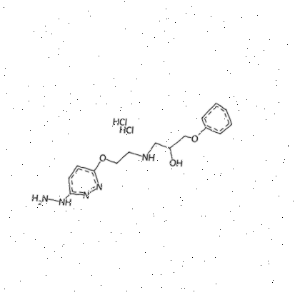 Cl.Cl.NNc1ccc(OCCNCC(O)COc2ccccc2)nn1